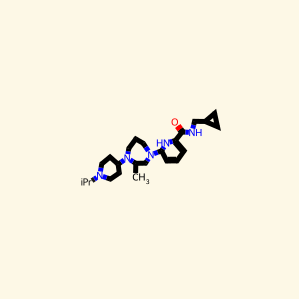 CC(C)N1CCC(N2CCCN(C3C=CC=C(C(=O)NCC4CC4)N3)CC2C)CC1